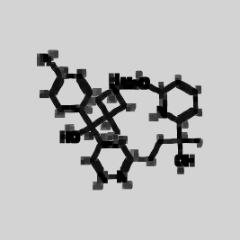 COc1cccc(C(C)(O)CCc2cc(C(O)(c3ccc(C(C)C)cc3)C3(C)CNC3)cnn2)n1